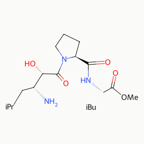 CC[C@H](C)[C@H](NC(=O)[C@@H]1CCCN1C(=O)[C@@H](O)[C@H](N)CC(C)C)C(=O)OC